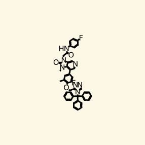 Cc1cc(-c2cncc3c2n(C)c(=O)n3CC(=O)Nc2ccc(F)cc2)cc(F)c1OCc1nncn1C(c1ccccc1)(c1ccccc1)c1ccccc1